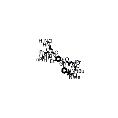 CCCC(=O)NC(C(=O)N[C@@H](CCCNC(N)=O)C(=O)Nc1ccc(S(=O)(=O)NC(=O)/C(C)=C/[C@H](C(C)C)N(C)C(=O)C(NC(=O)[C@@H](NC)C(C)(C)c2ccccc2)C(C)(C)C)cc1CC)C(C)C